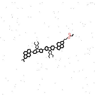 C=CC(=O)OCCCc1cc2ccc3ccc(-c4ccc5c(c4)C(CCCC)(CCCC)c4cc(-c6ccc7c(c6)C(CCCC)(CCCC)c6cc(-c8ccc9ccc%10cc(C(=C)C)cc%11ccc8c9c%10%11)ccc6-7)ccc4-5)c4ccc(c1)c2c34